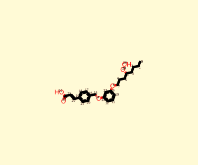 CCCCC(CCCOc1cccc(OCc2ccc(C=CC(=O)O)cc2)c1)OO